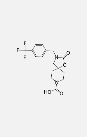 O=C(O)N1CCC2(CC1)CN(Cc1ccc(C(F)(F)F)cc1)C(=O)O2